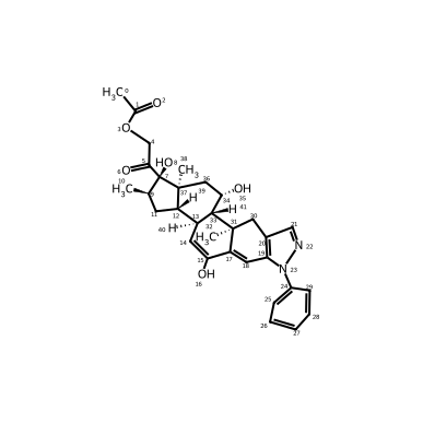 CC(=O)OCC(=O)[C@@]1(O)[C@H](C)C[C@H]2[C@@H]3C=C(O)C4=Cc5c(cnn5-c5ccccc5)C[C@]4(C)[C@H]3[C@@H](O)C[C@@]21C